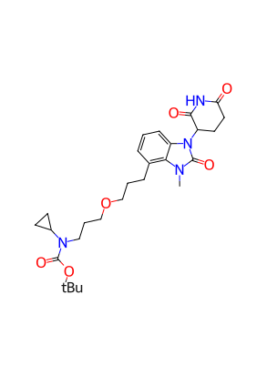 Cn1c(=O)n(C2CCC(=O)NC2=O)c2cccc(CCCOCCCN(C(=O)OC(C)(C)C)C3CC3)c21